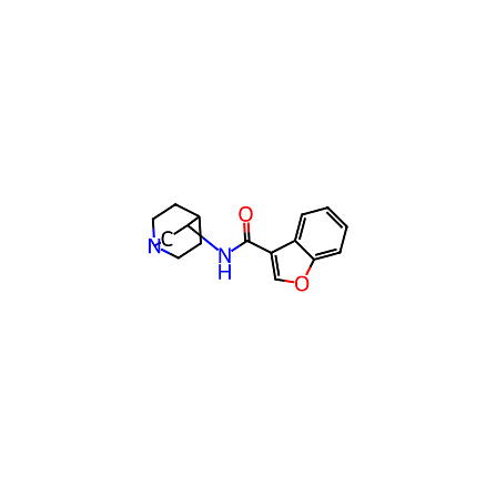 O=C(NC1CN2CCC1CC2)c1coc2ccccc12